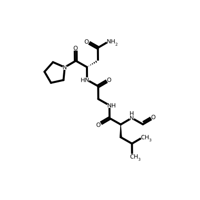 CC(C)C[C@H](NC=O)C(=O)NCC(=O)N[C@@H](CC(N)=O)C(=O)N1CCCC1